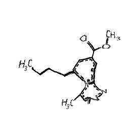 CCCCc1cc(C(=O)OC)cc2nnc(C)n12